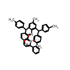 Cc1ccc(C(c2ccc(C)cc2)c2cc(C)cc(C(c3ccc(C)cc3)c3ccc(C)cc3)c2N=Cc2cccc(-c3ccccc3)[n+]2[O-])cc1